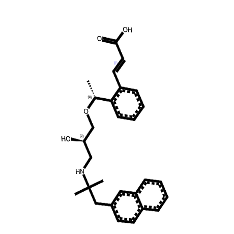 C[C@@H](OC[C@H](O)CNC(C)(C)Cc1ccc2ccccc2c1)c1ccccc1/C=C/C(=O)O